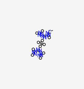 C=C/C=C\c1nc2n(-c3cc(-n4c5ccccc5n5c6ccccc6nc45)nc(-c4ccc([Si](c5ccccc5)(c5ccccc5)c5ccc(-c6nc(-n7c8ccccc8n8c9ccccc9nc78)cc(-n7c8ccccc8n8c9ccccc9nc78)n6)cc5)cc4)n3)c3ccccc3n2c1C